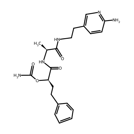 C[C@H](NC(=O)[C@@H](CCc1ccccc1)OC(N)=O)C(=O)NCCc1ccc(N)nc1